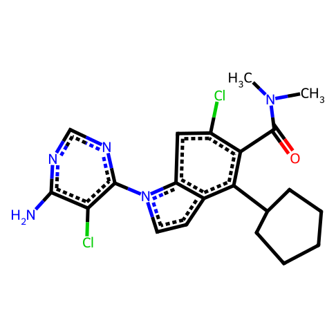 CN(C)C(=O)c1c(Cl)cc2c(ccn2-c2ncnc(N)c2Cl)c1C1CCCCC1